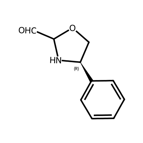 O=CC1N[C@H](c2ccccc2)CO1